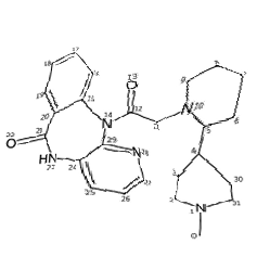 CN1CCC(C2CCCCN2CC(=O)N2c3ccccc3C(=O)Nc3cccnc32)CC1